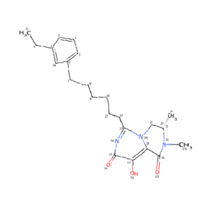 CCc1cccc(CCCCCCc2nc(=O)c(O)c3n2C[C@H](C)N(C)C3=O)c1